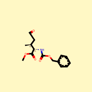 COC(=O)[C@@H](NC(=O)OCc1ccccc1)[C@@H](C)CC=O